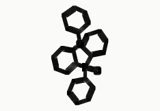 O=P(c1ccccc1)(c1ccccc1)c1ccccc1Oc1ccccc1